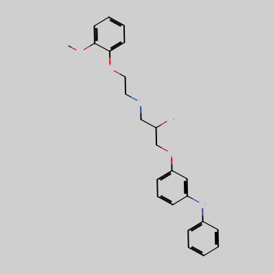 COc1ccccc1OCCNCC(O)COc1cccc(Nc2ccccc2)c1